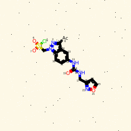 CC(=O)c1nn(CS(=O)(=O)Cl)c2ccc(NC(=O)NCc3ccon3)cc12